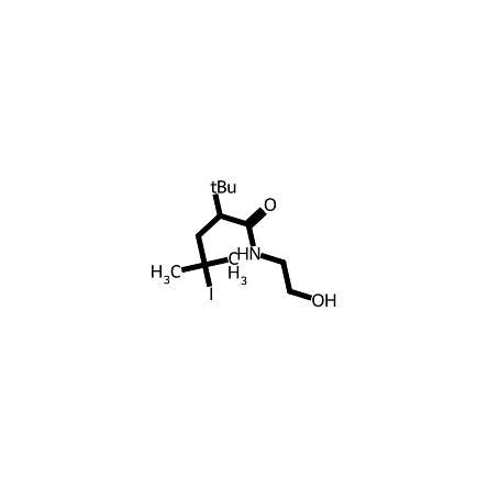 CC(C)(I)CC(C(=O)NCCO)C(C)(C)C